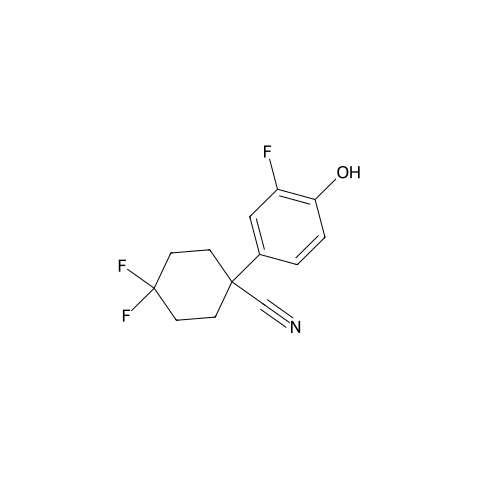 N#CC1(c2ccc(O)c(F)c2)CCC(F)(F)CC1